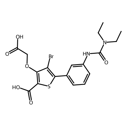 CCN(CC)C(=O)Nc1cccc(-c2sc(C(=O)O)c(OCC(=O)O)c2Br)c1